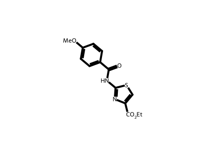 CCOC(=O)c1csc(NC(=O)c2ccc(OC)cc2)n1